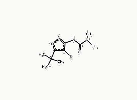 CN(C)C(=O)Nc1noc(C(C)(C)C)c1Br